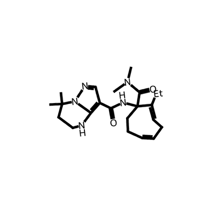 CC/C1=C\C/C=C\CCC1(NC(=O)c1cnn2c1NCCC2(C)C)C(=O)N(C)C